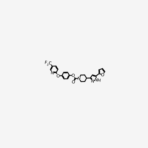 O=C(Oc1ccc(Oc2ccc(C(F)(F)F)cn2)cc1)N1CCC(c2cc(-c3ccco3)[nH]n2)CC1